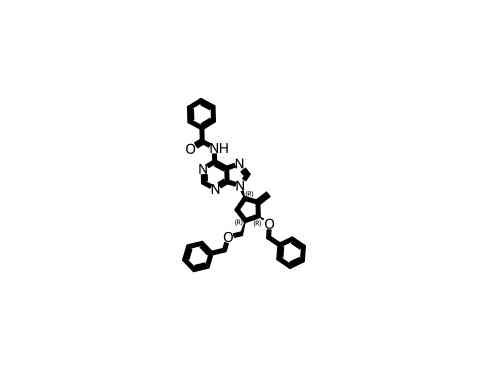 C=C1[C@H](n2cnc3c(NC(=O)c4ccccc4)ncnc32)C[C@H](COCc2ccccc2)[C@H]1OCc1ccccc1